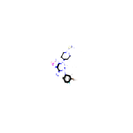 CO/N=C(/c1nonc1NC1CCN(SN)CC1)N(C=O)c1ccc(F)c(Br)c1